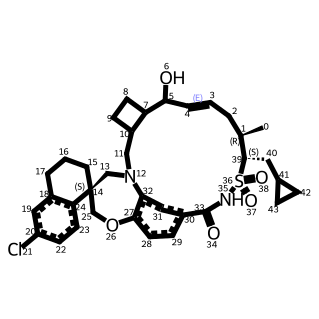 C[C@@H]1C/C=C/C(O)C2CCC2CN2C[C@@]3(CCCc4cc(Cl)ccc43)COc3ccc(cc32)C(=O)NS(=O)(=O)[C@H]1CC1CC1